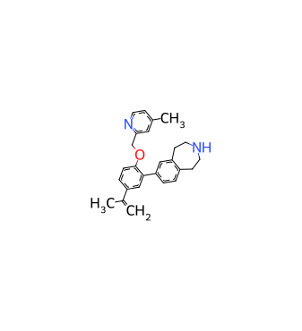 C=C(C)c1ccc(OCc2cc(C)ccn2)c(-c2ccc3c(c2)CCNCC3)c1